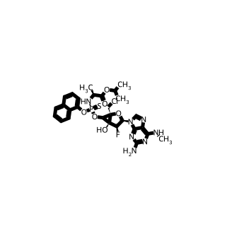 CNc1nc(N)nc2c1ncn2[C@@H]1O[C@]2(CCl)C(O[P@@](=S)(N[C@@H](C)C(=O)OC(C)C)Oc3cccc4ccccc34)[C@]2(O)[C@@H]1F